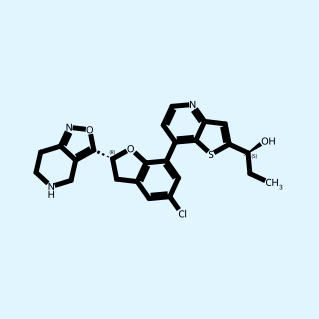 CC[C@H](O)c1cc2nccc(-c3cc(Cl)cc4c3O[C@@H](c3onc5c3CNCC5)C4)c2s1